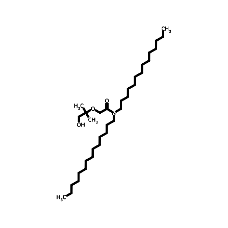 CCCCCCCCCCCCCCN(CCCCCCCCCCCCCC)C(=O)COC(C)(C)CO